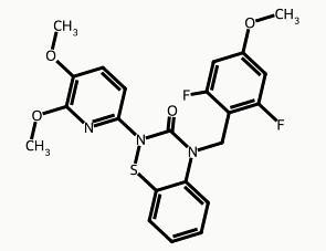 COc1cc(F)c(CN2C(=O)N(c3ccc(OC)c(OC)n3)Sc3ccccc32)c(F)c1